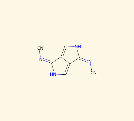 N#CN=C1NC=C2C1=CNC2=NC#N